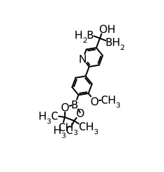 BC(B)(O)c1ccc(-c2ccc(B3OC(C)(C)C(C)(C)O3)c(OC)c2)nc1